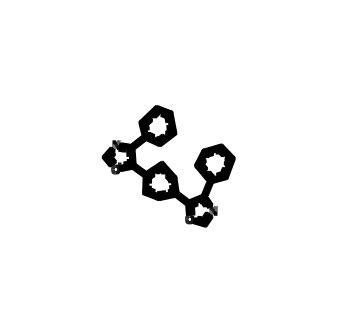 c1ccc(-c2ncoc2-c2ccc(-c3ocnc3-c3ccccc3)cc2)cc1